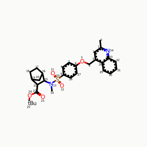 Cc1cc(COc2ccc(S(=O)(=O)N(C)C3C4CCC(C4)C3C(=O)OC(C)(C)C)cc2)c2ccccc2n1